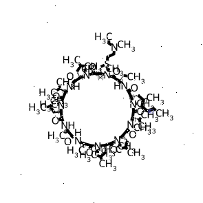 C/C=C/C[C@@H](C)C[C@H]1C(=O)N[C@@H](CC)C(=O)N(C)[C@@H](CSCCN(C)CC)C(=O)N(C)[C@@H](CC(C)C)C(=O)N[C@H](C(C)C)C(=O)N(C)[C@H](CC(C)C)C(=O)N[C@H](C)C(=O)N[C@@H](C)C(=O)N(C)[C@@H](CC(C)C)C(=O)N(C)[C@@H](CC(C)C)C(=O)N(C)[C@@H](C(C)C)C(=O)N1C